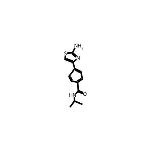 CC(C)NC(=O)c1ccc(-c2csc(N)n2)cc1